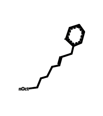 CCCCCCCCCCCCC=CCc1[c]cccc1